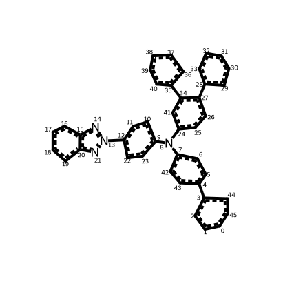 c1ccc(-c2ccc(N(c3ccc(-n4nc5ccccc5n4)cc3)c3ccc(-c4ccccc4)c(-c4ccccc4)c3)cc2)cc1